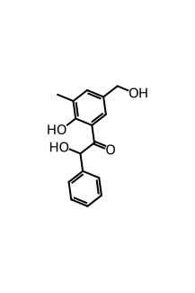 Cc1cc(CO)cc(C(=O)C(O)c2ccccc2)c1O